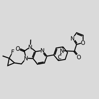 Cn1c(=O)n(CC2CC2(C)F)c2ccc(C3=CC4CCC3CN4C(=O)c3ncco3)nc21